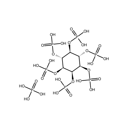 O=P(O)(O)O.O=P(O)(O)O[C@H]1[C@H](OP(=O)(O)O)[C@@H](OP(=O)(O)O)[C@H](OP(=O)(O)O)[C@@H](OP(=O)(O)O)[C@H]1OP(=O)(O)O